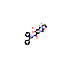 C[C@@H]1CCO[C@H]2Cn3cc(C(=O)NCC(c4ccccc4)c4ccccc4)c(=O)c(O)c3C(=O)N12